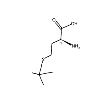 CC(C)(C)SCC[C@H](N)C(=O)O